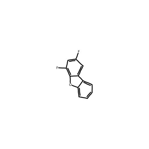 Fc1cc(F)c2oc3ccccc3c2c1